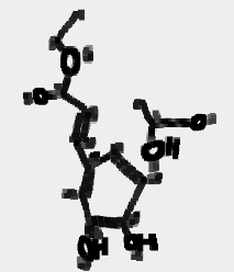 CC(=O)O.CCOC(=O)/C=C/c1ccc(O)c(O)c1